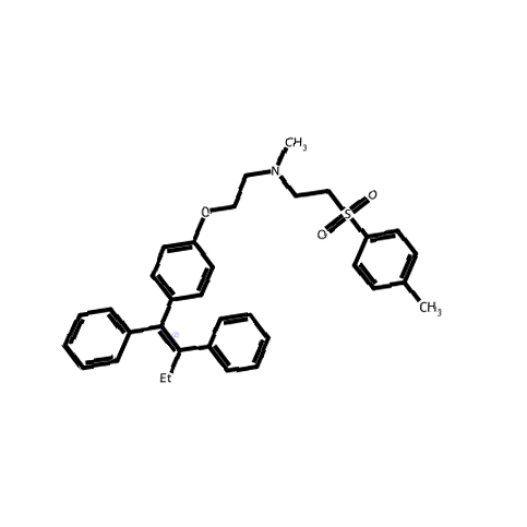 CC/C(=C(\c1ccccc1)c1ccc(OCCN(C)CCS(=O)(=O)c2ccc(C)cc2)cc1)c1ccccc1